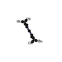 [C-]#[N+]c1ccc(N(c2ccc(C(C)(C)C)cc2)c2ccc3c(c2)C(C)(C)c2cc(/C=C/c4ccc(/C=C/c5ccc6c(c5)C(C)(C)c5cc(N(c7ccc(C#N)cc7)c7ccc(C(C)(C)C)cc7)ccc5-6)cc4)ccc2-3)cc1